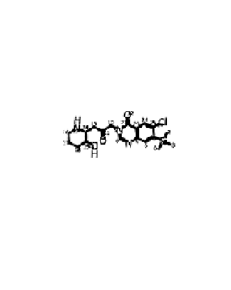 C[Si](C)(C)c1cc2ncn(CC(=O)CC3NCCCC3O)c(=O)c2cc1Cl